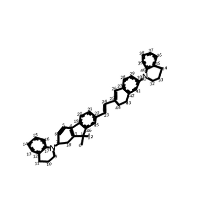 CC1(I)C2=C(C#CC(N3CCCc4ccccc43)C2)c2ccc(/C=C/C3=Cc4ccc(N5CCCc6ccccc65)cc4CC3)cc21